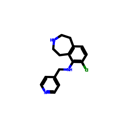 Clc1ccc2c(c1NCc1ccncc1)CCNCC2